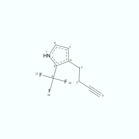 C#CC[CH]c1cc[nH]c1C(F)(F)F